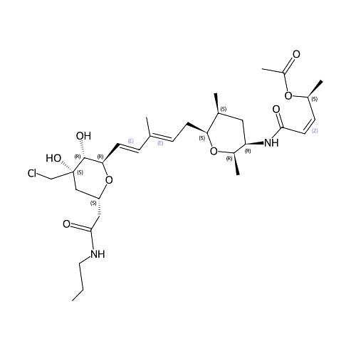 CCCNC(=O)C[C@@H]1C[C@@](O)(CCl)[C@H](O)[C@@H](/C=C/C(C)=C/C[C@@H]2O[C@H](C)[C@H](NC(=O)/C=C\[C@H](C)OC(C)=O)C[C@@H]2C)O1